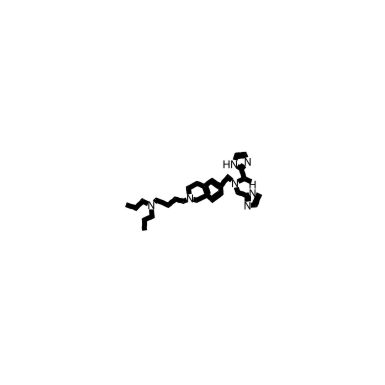 CCCN(CCC)CCCCN1CCc2cc(CN(Cc3ncc[nH]3)C(C)c3ncc[nH]3)ccc2C1